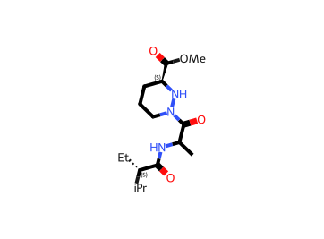 CC[C@H](C(=O)NC(C)C(=O)N1CCC[C@@H](C(=O)OC)N1)C(C)C